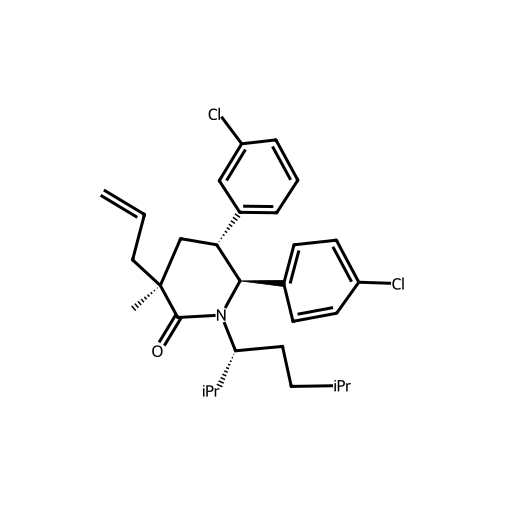 C=CC[C@@]1(C)C[C@H](c2cccc(Cl)c2)[C@@H](c2ccc(Cl)cc2)N([C@H](CCC(C)C)C(C)C)C1=O